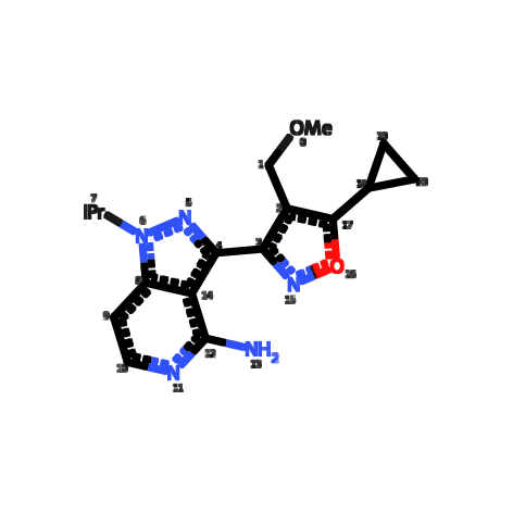 COCc1c(-c2nn(C(C)C)c3ccnc(N)c23)noc1C1CC1